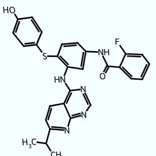 CC(C)c1ccc2c(Nc3cc(NC(=O)c4ccccc4F)ccc3Sc3ccc(O)cc3)ncnc2n1